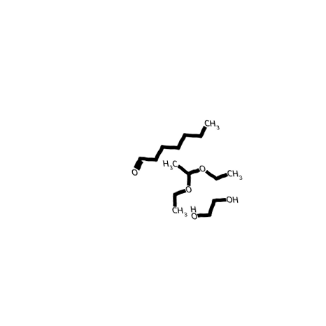 CCCCCCC=O.CCOC(C)OCC.OCCO